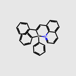 C1=C(c2ccccc2)[B-](c2ccccc2)(c2ccccc2)[n+]2cccc3cccc1c32